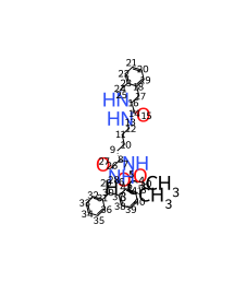 CC(C)(C)OC(=O)N[C@@H](CCCCNC(=O)[C@@H]1Cc2ccccc2CN1)C(=O)NCC(c1ccccc1)c1ccccc1